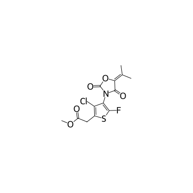 COC(=O)Cc1sc(F)c(N2C(=O)OC(=C(C)C)C2=O)c1Cl